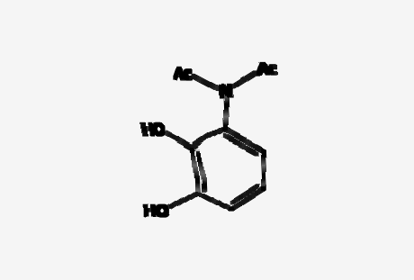 CC(=O)N(C(C)=O)c1cccc(O)c1O